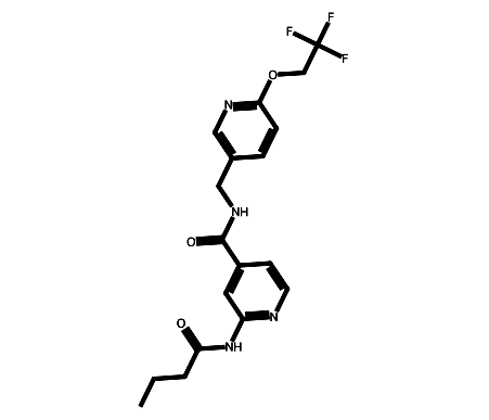 CCCC(=O)Nc1cc(C(=O)NCc2ccc(OCC(F)(F)F)nc2)ccn1